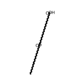 CCCCCCCCC=CCCCCCCCCCCCC(=O)OCCCCCCCCCCCCCCCCCCCCCCC(=O)O